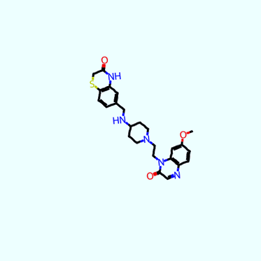 COc1ccc2ncc(=O)n(CCN3CCC(NCc4ccc5c(c4)NC(=O)CS5)CC3)c2c1